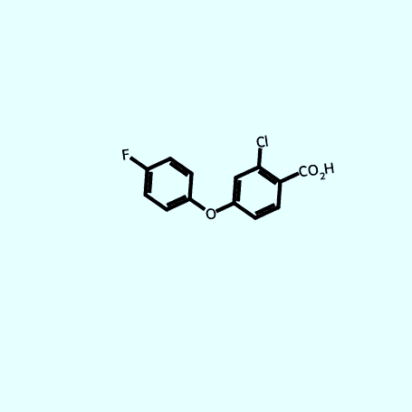 O=C(O)c1ccc(Oc2ccc(F)cc2)cc1Cl